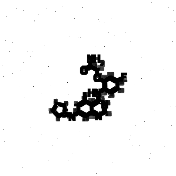 Cc1cc(N=S2CCCC2)cc2ncnc(Nc3ccc(F)cc3OCC(N)=O)c12